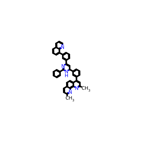 Cc1ccc2ccc3c(-c4cccc(C5C=C(c6cccc(-c7cccc8cccnc78)c6)N=C(c6ccccc6)N5)c4)cc(C)nc3c2n1